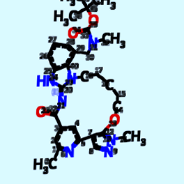 Cc1cc2cc(n1)-c1cnn(C)c1OCCCCCN1/C(=N/C2=O)Nc2cccc(CN(C)C(=O)OC(C)(C)C)c21